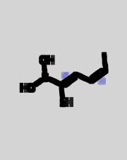 C/C=C\C=C(/S)B(O)O